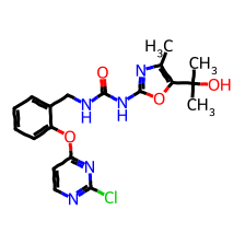 Cc1nc(NC(=O)NCc2ccccc2Oc2ccnc(Cl)n2)oc1C(C)(C)O